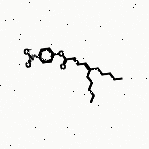 CCCCCC(=CC=CC(=O)Oc1ccc([N+](=O)[O-])cc1)CCCCC